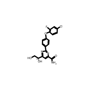 NC(=O)c1cc([C@H](O)CO)nc(-c2ccc(Oc3ccc(Cl)cc3F)cc2)n1